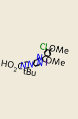 COc1cc(OC)c(-c2nc3cc(N4CCN(C(=O)O)C(C(C)(C)C)C4)ccn3c2I)cc1Cl